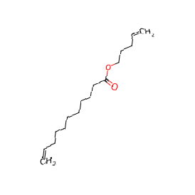 C=CCCCCCCCCC(=O)OCCCC=C